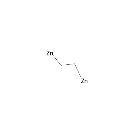 [Zn][CH2][CH2][Zn]